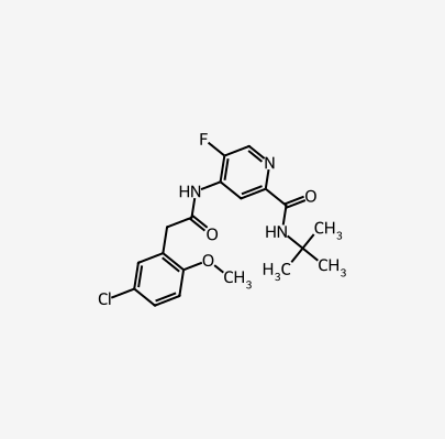 COc1ccc(Cl)cc1CC(=O)Nc1cc(C(=O)NC(C)(C)C)ncc1F